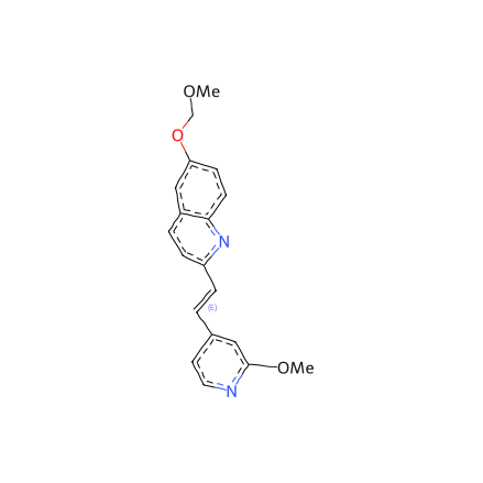 COCOc1ccc2nc(/C=C/c3ccnc(OC)c3)ccc2c1